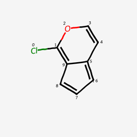 Clc1occc2[c]ccc1-2